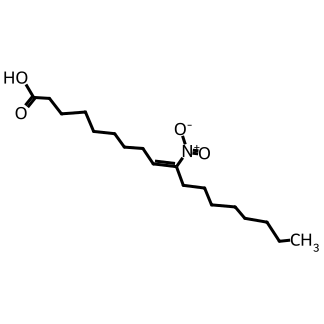 CCCCCCCCC(=CCCCCCCCC(=O)O)[N+](=O)[O-]